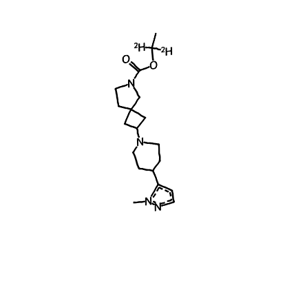 [2H]C([2H])(C)OC(=O)N1CCC2(CC(N3CCC(c4ccnn4C)CC3)C2)C1